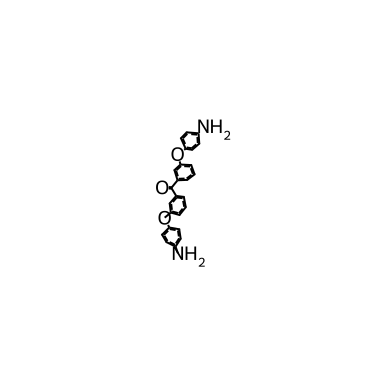 Nc1ccc(Oc2cccc(C(=O)c3cccc(Oc4ccc(N)cc4)c3)c2)cc1